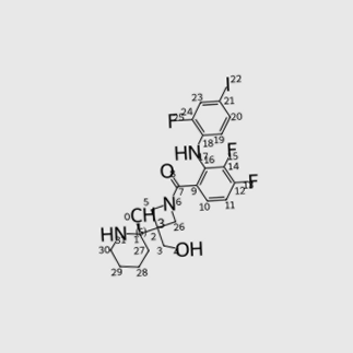 C[C@@]1(C2(CO)CN(C(=O)c3ccc(F)c(F)c3Nc3ccc(I)cc3F)C2)CCCCN1